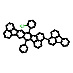 Clc1ccccc1-c1c2cc3c(cc2c(-c2ccccc2)c2c4cccc5c(-c6ccc7c8c(cccc68)-c6ccccc6-7)ccc(c12)c54)c1cccc2cccc3c21